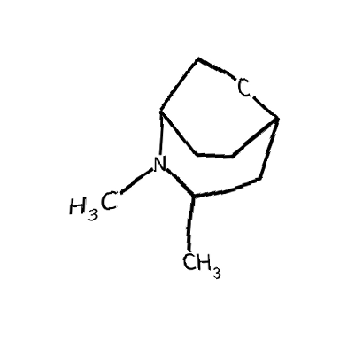 CC1CC2CCC(CC2)N1C